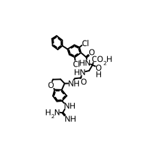 N=C(N)Nc1ccc2c(c1)C(NCC(=O)NCC(O)(NC(=O)c1c(Cl)cc(-c3ccccc3)cc1Cl)C(=O)O)CCO2